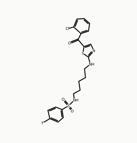 O=C(c1cnc(NCCCCCNS(=O)(=O)c2ccc(F)cc2)s1)c1ccccc1Cl